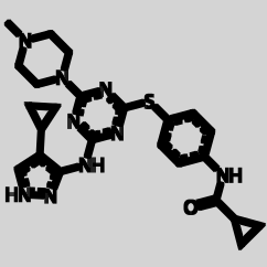 CN1CCN(c2nc(Nc3n[nH]cc3C3CC3)nc(Sc3ccc(NC(=O)C4CC4)cc3)n2)CC1